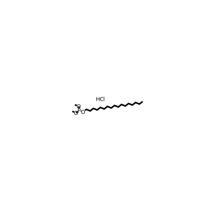 CCCCCCCCCCCCCCCCCOP(OC)OC.Cl